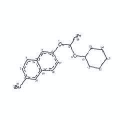 CCC(C)c1ccc2cc(OC(OC3CCCCC3)C(C)C)ccc2c1